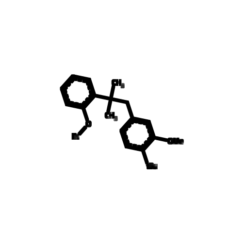 CCOc1ccccc1C(C)(C)Cc1ccc(C(C)(C)C)c(OC)c1